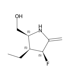 C=C1N[C@H](CO)[C@H](CC)[C@@H]1F